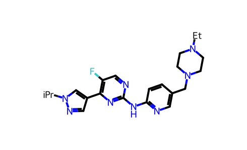 CCN1CCN(Cc2ccc(Nc3ncc(F)c(-c4cnn(C(C)C)c4)n3)nc2)CC1